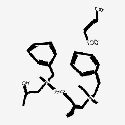 CC(O)C[N+](C)(C)Cc1ccccc1.CC(O)C[N+](C)(C)Cc1ccccc1.O=C([O-])C=CC(=O)[O-]